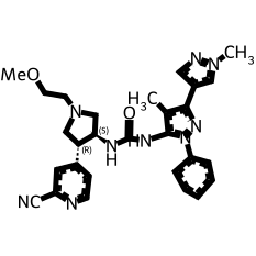 COCCN1C[C@@H](NC(=O)Nc2c(C)c(-c3cnn(C)c3)nn2-c2ccccc2)[C@H](c2ccnc(C#N)c2)C1